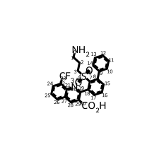 NCCCS(=O)(=O)c1c(-c2ccccc2)cccc1-c1nc2c(C(F)(F)F)cccc2cc1C(=O)O